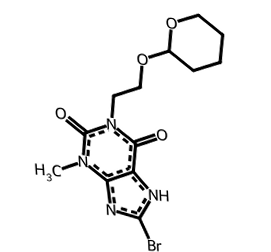 Cn1c(=O)n(CCOC2CCCCO2)c(=O)c2[nH]c(Br)nc21